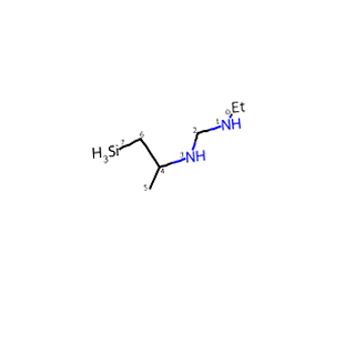 CCNCNC(C)C[SiH3]